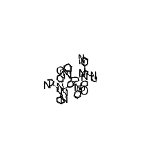 c1ccc(-c2cc(-c3cccnc3)nc(-c3cc(N4c5ccccc5Oc5ccccc54)c4cc(-c5nc(-c6cccnc6)cc(-c6ccccn6)n5)cc(N5c6ccccc6Oc6ccccc65)c4c3)n2)nc1